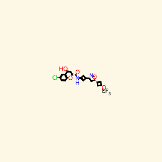 O=C(NC1=CC(C2=NOC([C@H]3C[C@@H](OC(F)(F)F)C3)C2)C1)[C@H]1C[C@@H](O)c2cc(Cl)ccc2O1